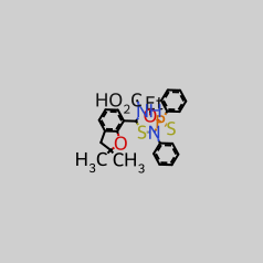 CCOP(=S)(c1ccccc1)N(SC(NC(=O)O)c1cccc2c1OC(C)(C)C2)c1ccccc1